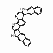 c1ccc2cc3c(cc2c1)[nH]c1cnc2c(ccc4c2ncc2[nH]c5cc6ccccc6cc5c24)c13